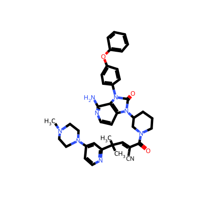 CN1CCN(c2ccnc(C(C)(C)C=C(C#N)C(=O)N3CCCC(n4c(=O)n(-c5ccc(Oc6ccccc6)cc5)c5c(N)nccc54)C3)c2)CC1